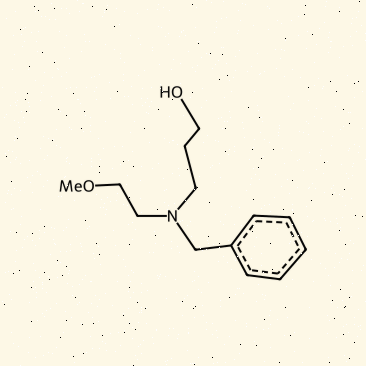 COCCN(CCCO)Cc1ccccc1